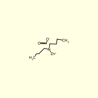 CCCC[N]([Zn+])CCCC.O=C[O-]